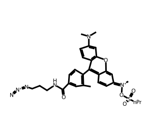 CCCS(=O)(=O)O/[N+](C)=c1\ccc2c(-c3ccc(C(=O)NCCCN=[N+]=[N-])cc3C)c3ccc(N(C)C)cc3oc-2c1